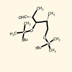 C[C@H](CO[Si](C)(C)C(C)(C)C)[C@@H](O[Si](C)(C)C(C)(C)C)[C@@H](C)C=O